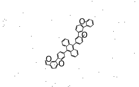 c1ccc2c(c1)oc1ccc3c4cc(-c5c6ccccc6c(-c6ccc7c(c6)oc6ccc8ccoc8c67)c6ccccc56)ccc4oc3c12